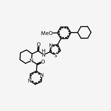 COc1ccc(C2CCCCC2)cc1-c1csc(NC(=O)C2CCCCN2C(=O)c2cnccn2)n1